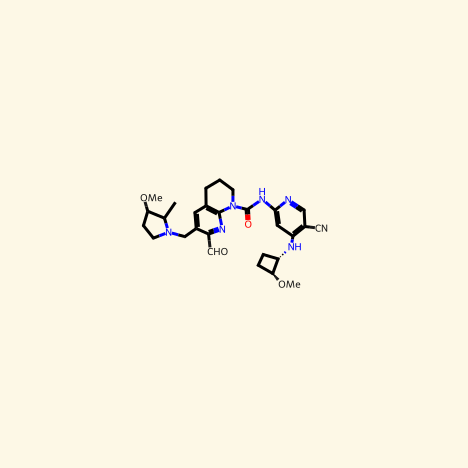 COC1CCN(Cc2cc3c(nc2C=O)N(C(=O)Nc2cc(N[C@H]4CC[C@@H]4OC)c(C#N)cn2)CCC3)C1C